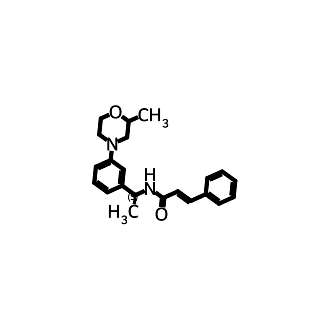 CC1CN(c2cccc([C@H](C)NC(=O)C=Cc3ccccc3)c2)CCO1